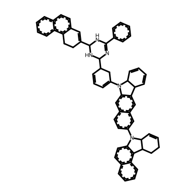 C1=CC(C2N=C(c3ccccc3)NC(C3=Cc4ccc5ccccc5c4CC3)N2)CC(N2c3cc4ccc(N5c6ccc7ccccc7c6C6CCC=CC65)cc4cc3C3C=CC=CC32)=C1